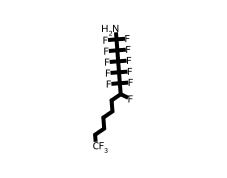 NC(F)(F)C(F)(F)C(F)(F)C(F)(F)C(F)(F)C(F)CCCCCC(F)(F)F